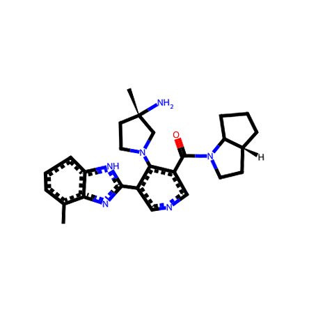 Cc1cccc2[nH]c(-c3cncc(C(=O)N4CC[C@H]5CCCC54)c3N3CC[C@](C)(N)C3)nc12